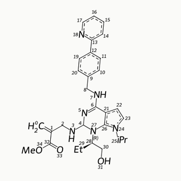 C=C(CNC1N=C(NCc2ccc(-c3ccccn3)cc2)c2ccn(C(C)C)c2N1[C@H](CC)CO)C(=O)OC